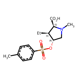 CC[C@@H]1[C@@H](OS(=O)(=O)c2ccc(C)cc2)CN(C)[C@@H]1C(=O)O